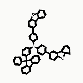 c1ccc(C2(c3cccc(N(c4ccc(-c5ccc6oc7ccccc7c6c5)cc4)c4ccc(-c5ccc6sc7ccccc7c6c5)cc4)c3)c3ccccc3-c3ccccc32)cc1